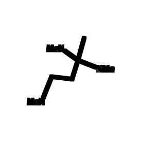 CNCCC(C)(NC)NC